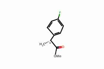 COC(=O)[C@H](C)c1ccc(F)cc1